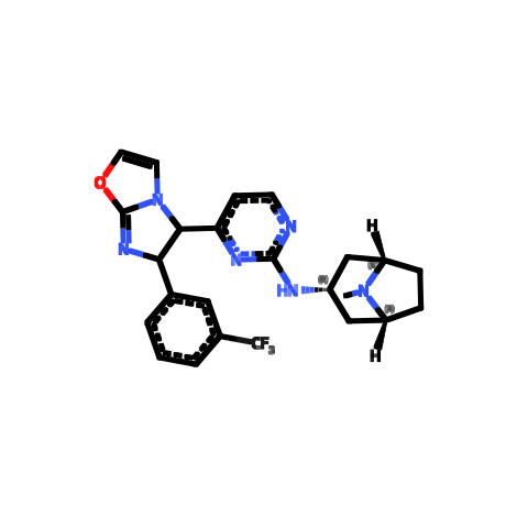 CN1[C@@H]2CC[C@H]1C[C@@H](Nc1nccc(C3C(c4cccc(C(F)(F)F)c4)N=C4OC=CN43)n1)C2